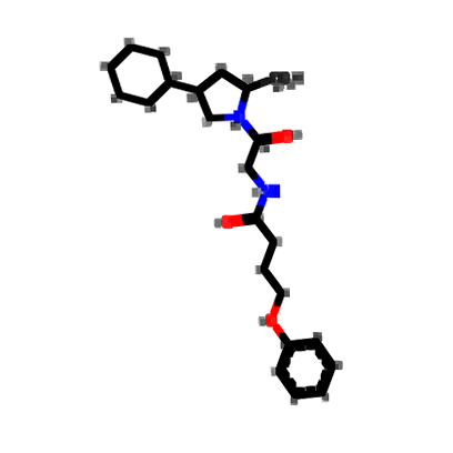 O=C(CCCOc1ccccc1)NCC(=O)N1CC(C2CCCCC2)CC1C(=O)O